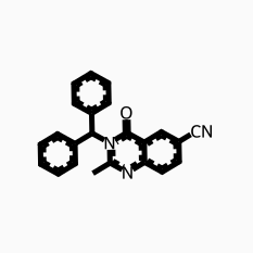 Cc1nc2ccc(C#N)cc2c(=O)n1C(c1ccccc1)c1ccccc1